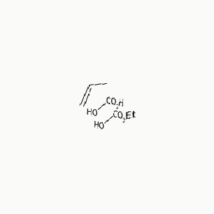 C=CC.CCOC(=O)O.O=C(O)O